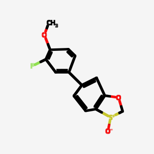 COc1ccc(-c2ccc3c(c2)OC[S+]3[O-])cc1F